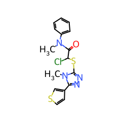 CN(C(=O)C(Cl)Sc1nnc(-c2ccsc2)n1C)c1ccccc1